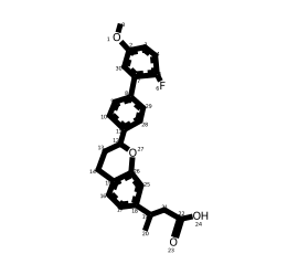 COc1ccc(F)c(-c2ccc(C3CCc4ccc(C(C)CC(=O)O)cc4O3)cc2)c1